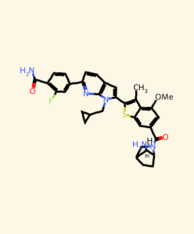 COc1cc(C(=O)N2CC3CCC2[C@@H]3N)cc2sc(-c3cc4ccc(-c5ccc(C(N)=O)c(F)c5)nc4n3CC3CC3)c(C)c12